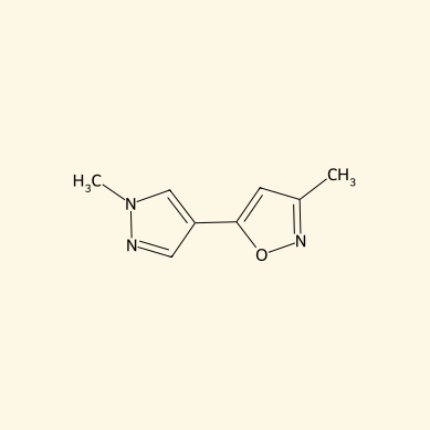 Cc1cc(-c2cnn(C)c2)on1